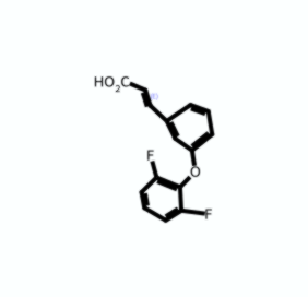 O=C(O)/C=C/c1cccc(Oc2c(F)cccc2F)c1